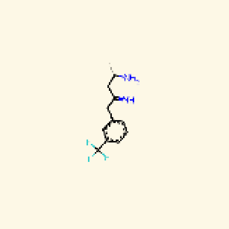 C[C@H](N)CC(=N)Cc1cccc(C(F)(F)F)c1